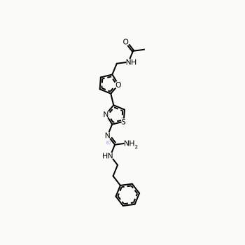 CC(=O)NCc1ccc(-c2csc(/N=C(\N)NCCc3ccccc3)n2)o1